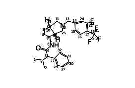 CC(C)C(C(=O)N[C@H]1CC[C@@H]2CN(Cc3ccc(C(F)(F)F)c(F)c3)C[C@@H]21)c1ccccc1